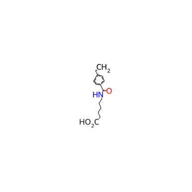 C=Cc1ccc(C(=O)NCCCCCC(=O)O)cc1